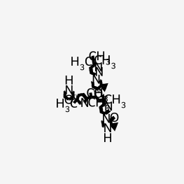 CC(C)(CCC(C)(CO[C@@H]1CCN(c2ccc(C(C)(C)C)nn2)CC12CC2)c1ccc(N2CCNC3(CC3)C2=O)cn1)C1=CCC(C)([C@H]2CNCCO2)C=N1